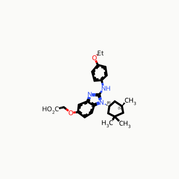 CCOc1ccc(Nc2nc3cc(OCC(=O)O)ccc3n2[C@@H]2C[C@@H](C)CC(C)(C)C2)cc1